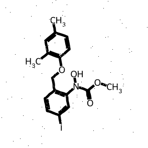 COC(=O)N(O)c1cc(I)ccc1COc1ccc(C)cc1C